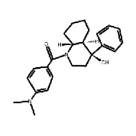 CN(C)c1ccc(C(=O)N2CC[C@@](O)(c3ccccc3)[C@@H]3CCCC[C@H]32)cc1